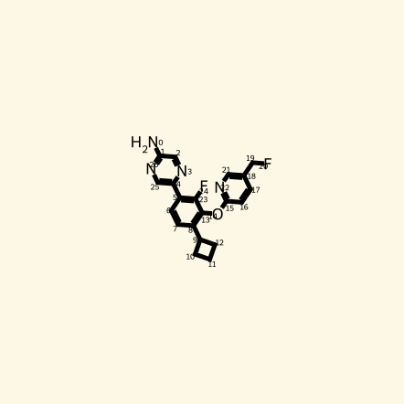 Nc1cnc(-c2ccc(C3CCC3)c(Oc3ccc(CF)cn3)c2F)cn1